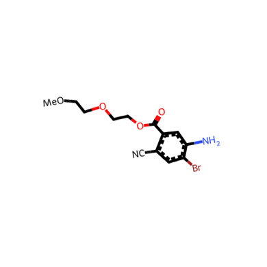 COCCOCCOC(=O)c1cc(N)c(Br)cc1C#N